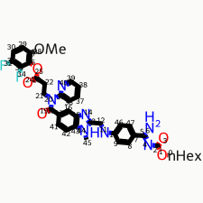 CCCCCCOC(=O)/N=C(\N)c1ccc(NCc2nc3cc(C(=O)N(CCC(=O)Oc4c(OC)ccc(F)c4F)c4ccccn4)ccc3n2C)cc1